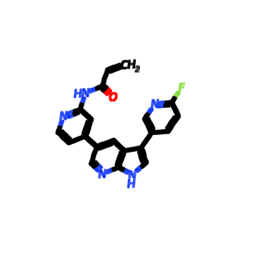 C=CC(=O)Nc1cc(-c2cnc3[nH]cc(-c4ccc(F)nc4)c3c2)ccn1